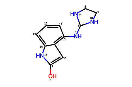 Oc1cc2c(NC3NCCN3)cccc2[nH]1